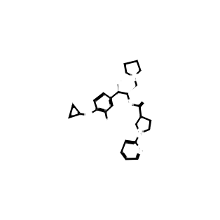 O=C(N[C@H](CN1CCCC1)[C@H](O)c1ccc(OC2CC2)c(Cl)c1)C1CCN(c2ccccn2)C1